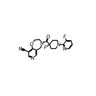 N#Cc1cncc2c1OCCN(C(=O)C1(F)CCN(c3ncccc3F)CC1)C2